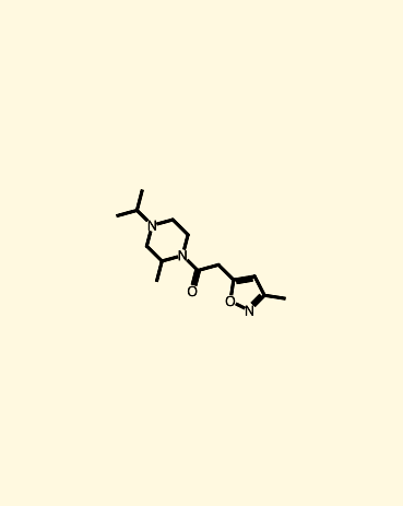 Cc1cc(CC(=O)N2CCN(C(C)C)CC2C)on1